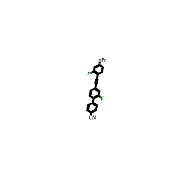 CCCc1ccc(C#Cc2ccc(-c3ccc(C#N)cc3)c(F)c2)c(F)c1